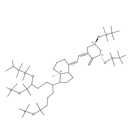 C=C1/C(=C\C=C2/CCC[C@@]3(C)C2CCC3C(CCCC(C)(C)O[Si](C)(C)C)CCC(O[Si](C)(C)C(C)(C)C(C)C)C(C)(C)O[Si](C)(C)C)C[C@@H](O[Si](C)(C)C(C)(C)C)C[C@@H]1O[Si](C)(C)C(C)(C)C